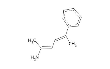 C/C(N)=C\C=C(/C)c1ccccc1